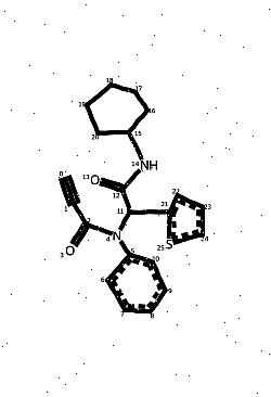 C#CC(=O)N(c1ccccc1)C(C(=O)NC1CCCCC1)c1cccs1